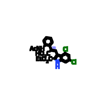 CCOC(=O)c1[nH]c2cc(Cl)cc(Cl)c2c1/C=C(\C(=O)O)c1ccccc1NC(C)=O